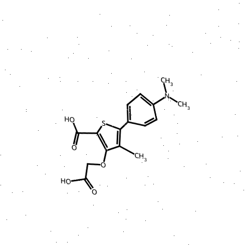 Cc1c(-c2ccc(N(C)C)cc2)sc(C(=O)O)c1OCC(=O)O